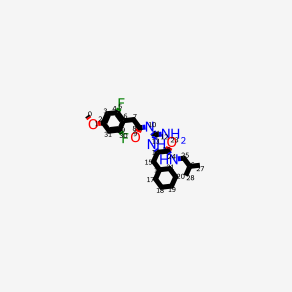 COc1cc(F)c(CC(=O)N=C(N)NC(CC2CCCCC2)C(=O)NCC(C)C)c(F)c1